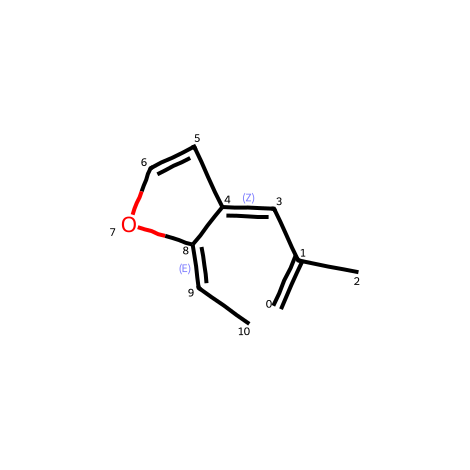 C=C(C)/C=c1/cco/c1=C/C